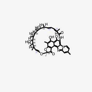 C/C1=C/C=C/[C@H](C)[C@H](O)[C@@H](C)[C@@H](O)[C@@H](C)[C@H](O)[C@H](C)[C@@H](C)/C=C/O[C@@]2(C)Oc3c(C)c(O)c4c(O)c(c5c(nc6cc(C)ccn65)c4c3C2=O)NC1=O